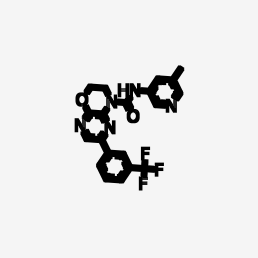 Cc1cncc(NC(=O)N2CCOc3ncc(-c4cccc(C(F)(F)F)c4)nc32)c1